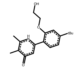 Cc1[nH]c(-c2ccc(C(C)(C)C)cc2OCCO)cc(=O)c1C